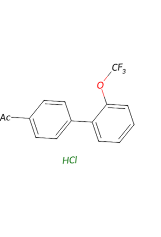 CC(=O)c1ccc(-c2ccccc2OC(F)(F)F)cc1.Cl